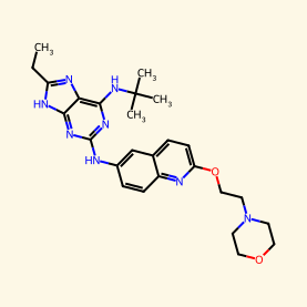 CCc1nc2c(NC(C)(C)C)nc(Nc3ccc4nc(OCCN5CCOCC5)ccc4c3)nc2[nH]1